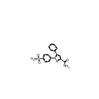 NC(=O)c1cc(-c2ccccc2)n(-c2ccc(S(N)(=O)=O)cc2)n1